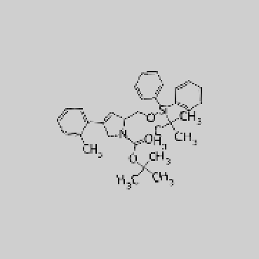 Cc1ccccc1C1=CC(CO[Si](c2ccccc2)(c2ccccc2)C(C)(C)C)N(C(=O)OC(C)(C)C)C1